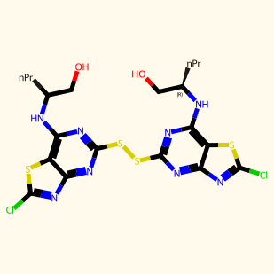 CCCC(CO)Nc1nc(SSc2nc(N[C@@H](CO)CCC)c3sc(Cl)nc3n2)nc2nc(Cl)sc12